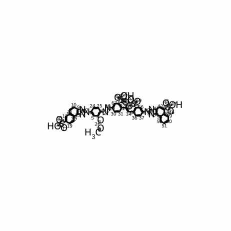 COCOc1cc(-n2n3c4ccc5cc(S(=O)(=O)O)ccc5c4n23)ccc1N=Nc1ccc(C=Cc2ccc(-n3n4c5cc(S(=O)(=O)O)c6ccccc6c5n34)cc2S(=O)(=O)O)c(S(=O)(=O)O)c1